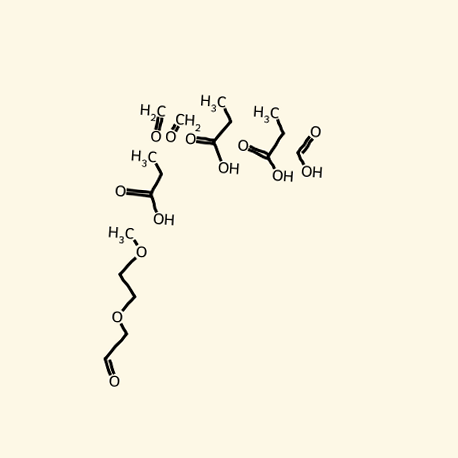 C=O.C=O.CCC(=O)O.CCC(=O)O.CCC(=O)O.COCCOCC=O.O=CO